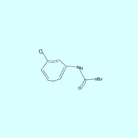 CCCCC(=O)Nc1cc[c]c(Cl)c1